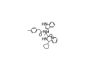 Cc1ccc(CC(=O)NC(C)(Cc2c[nH]c3ccccc23)C(=O)NC(c2ccccn2)C2CCCCC2)cc1